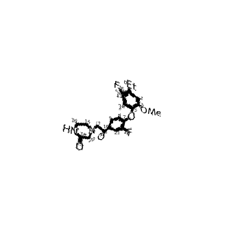 CCc1cc(OC)c(Oc2ccc(C(=O)CN3CCNC(=O)C3)cc2F)cc1F